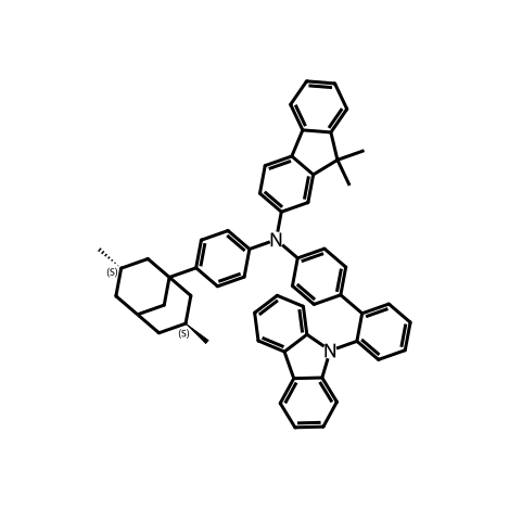 C[C@H]1CC2C[C@H](C)CC(c3ccc(N(c4ccc(-c5ccccc5-n5c6ccccc6c6ccccc65)cc4)c4ccc5c(c4)C(C)(C)c4ccccc4-5)cc3)(C2)C1